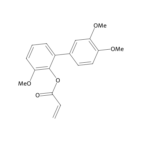 C=CC(=O)Oc1c(OC)cccc1-c1ccc(OC)c(OC)c1